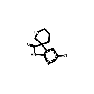 O=C1Nc2ncc(Cl)cc2C12CCCNC2